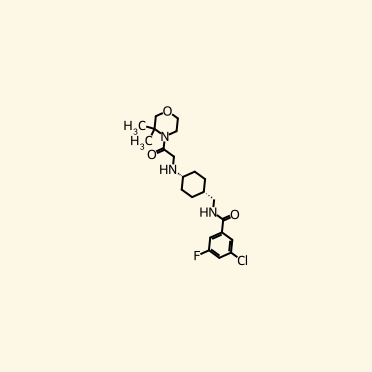 CC1(C)COCCN1C(=O)CN[C@H]1CC[C@@H](CNC(=O)c2cc(F)cc(Cl)c2)CC1